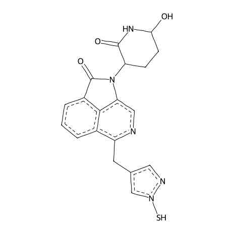 O=C1NC(O)CCC1N1C(=O)c2cccc3c(Cc4cnn(S)c4)ncc1c23